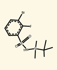 CC(C)(C)[Si](C)(C)NS(=O)(=O)c1cccc(Br)c1F